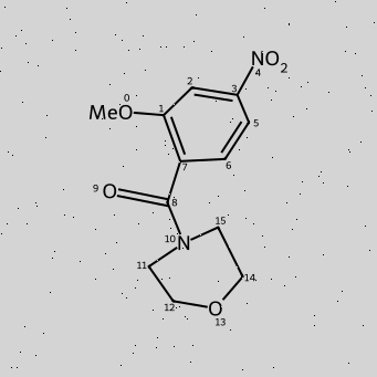 COc1cc([N+](=O)[O-])ccc1C(=O)N1CCOCC1